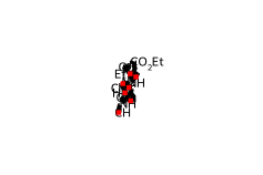 C#CCNC(=O)c1cccc(F)c1Nc1nc(Nc2ccc3c(c2)N(CC)C(=O)CN(C(=O)OCC)C3)ncc1Cl